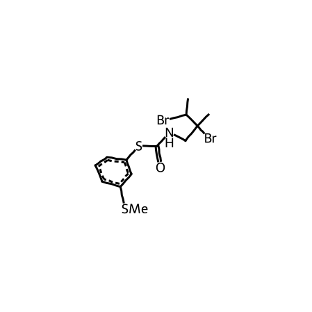 CSc1cccc(SC(=O)NCC(C)(Br)C(C)Br)c1